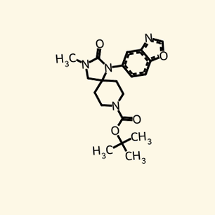 CN1CC2(CCN(C(=O)OC(C)(C)C)CC2)N(c2ccc3ocnc3c2)C1=O